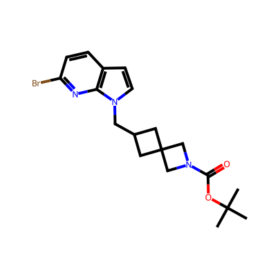 CC(C)(C)OC(=O)N1CC2(CC(Cn3ccc4ccc(Br)nc43)C2)C1